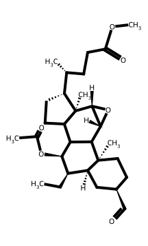 CC[C@H]1[C@@H](OC(C)=O)C2C3CC[C@H]([C@H](C)CCC(=O)OC)[C@@]3(C)[C@@H]3O[C@@H]3C2[C@@]2(C)CC[C@@H](C=O)C[C@@H]12